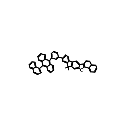 CC1(C)c2cc(-c3cccc(-c4c5ccccc5c(-c5cccc6ccccc56)c5ccccc45)c3)ccc2-c2cc3c(cc21)oc1c2ccccc2ccc31